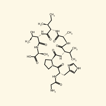 CC[C@H](C)[C@H](NC(=O)[C@H](C)NC(=O)[C@@H](NC(=O)[C@@H]1CCCN1C(=O)[C@H](Cc1c[nH]cn1)NC(=O)CN)C(C)C)C(=O)N[C@H](C(=O)N[C@@H](C)C(=O)O)[C@@H](C)O